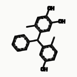 Cc1ccc(O)cc1C(c1ccccc1)c1cc(O)c(O)cc1C